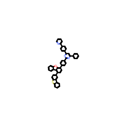 c1ccc(-c2cc(-c3ccc(-c4ccccn4)cc3)nc(-c3ccc(-c4ccc(-c5ccc6sc7ccccc7c6c5)c5c4oc4ccccc45)cc3)n2)cc1